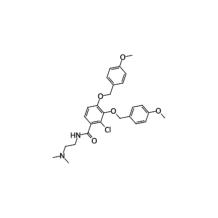 COc1ccc(COc2ccc(C(=O)NCCN(C)C)c(Cl)c2OCc2ccc(OC)cc2)cc1